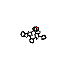 c1ccc(-c2nc(-c3ccccc3-c3nc(-c4ccccc4)c4sc5ccccc5c4n3)c3sc4ccccc4c3n2)cc1